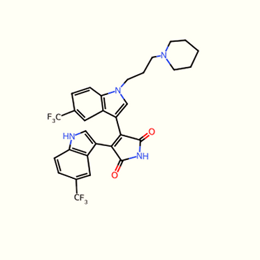 O=C1NC(=O)C(c2cn(CCCN3CCCCC3)c3ccc(C(F)(F)F)cc23)=C1c1c[nH]c2ccc(C(F)(F)F)cc12